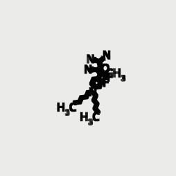 CCCCCCN(CCCCCC)c1ccc(C2=C(C#N)C(=C(C#N)C#N)OC2(C)C(F)(F)F)cc1